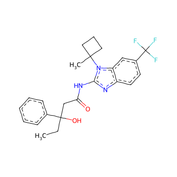 CCC(O)(CC(=O)Nc1nc2ccc(C(F)(F)F)cc2n1C1(C)CCC1)c1ccccc1